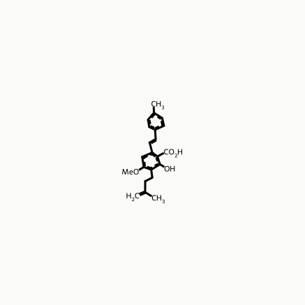 C=C(C)CCc1c(OC)cc(C=Cc2ccc(C)cc2)c(C(=O)O)c1O